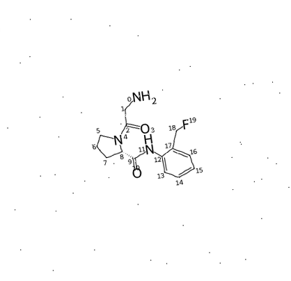 NCC(=O)N1CCC[C@H]1C(=O)Nc1ccccc1CF